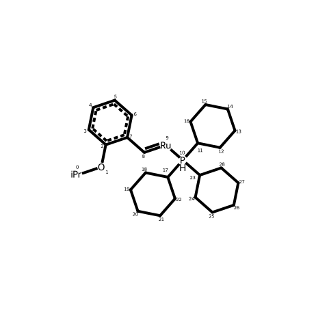 CC(C)Oc1ccccc1[CH]=[Ru][PH](C1CCCCC1)(C1CCCCC1)C1CCCCC1